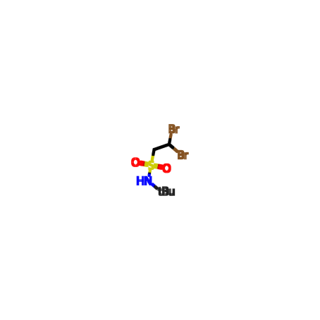 CC(C)(C)NS(=O)(=O)CC(Br)Br